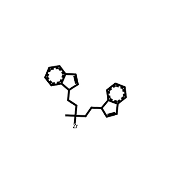 C[C]([Zr])(CCC1C=Cc2ccccc21)CCC1C=Cc2ccccc21